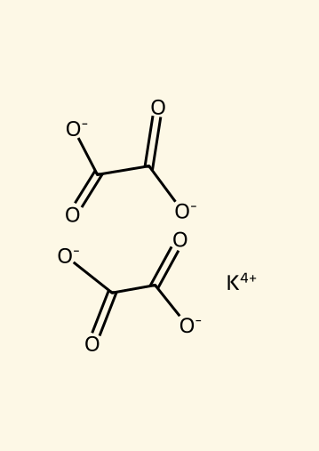 O=C([O-])C(=O)[O-].O=C([O-])C(=O)[O-].[K+4]